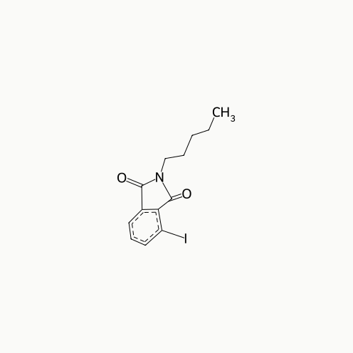 CCCCCN1C(=O)c2cccc(I)c2C1=O